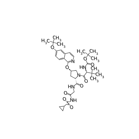 CC(C)(C)OC(=O)N[C@H](C(=O)N1C[C@H](Oc2nccc3cc(OC(C)(C)C)ccc23)C[C@H]1C(=O)NCC(=O)NS(=O)(=O)C1CC1)C(C)(C)C